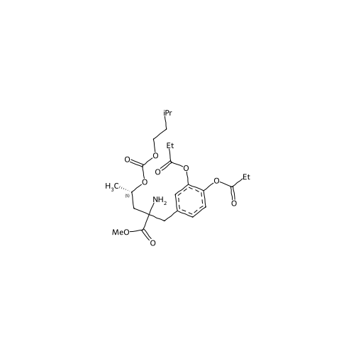 CCC(=O)Oc1ccc(CC(N)(C[C@H](C)OC(=O)OCCC(C)C)C(=O)OC)cc1OC(=O)CC